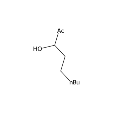 CCCCCCC(O)C(C)=O